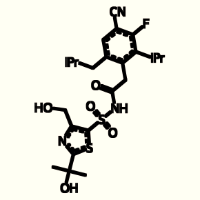 CC(C)Cc1cc(C#N)c(F)c(C(C)C)c1CC(=O)NS(=O)(=O)c1sc(C(C)(C)O)nc1CO